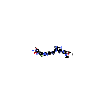 CCC1(C(=O)NC2CCC2)CCN(c2ccc(-c3nc(-c4cnn([C@H]5C[C@](F)(CN6CCN(c7ccc(N[C@@H]8CCC(=O)NC8=O)cc7F)CC6)C5)c4)cn4ncc(C#N)c34)cn2)CC1